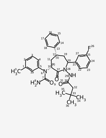 Cc1cccc(N(C(N)=O)[C@@H]2C[C@H](c3ccccc3)CC(c3cccc(F)c3)N(NC(=O)CC(C)(C)C)C2=O)c1